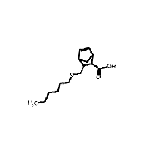 CCCCCCOCC1C2C=CC(C2)C1C(=O)O